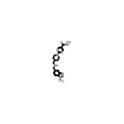 Cn1nnc2cc(CNCC3CCN(c4ncc(C(=O)NO)cn4)CC3)ccc21